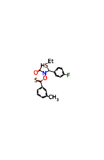 CC[SH]1CC(=O)N(OC(=S)c2cccc(C)c2)C1c1ccc(F)cc1